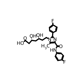 Cc1c(C(=O)Nc2ccc(F)cc2)nc(-c2ccc(F)cc2)n1CC[C@@H](O)C[C@@H](O)CC(=O)O